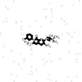 Cc1c(Cl)cccc1-n1c(C(F)(F)F)cc2cc([N+](=O)[O-])c(N3CC(C)(N(C)C)C3)nc2c1=O